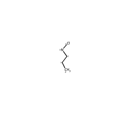 CCC[N]Cl